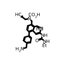 C#CCN(Cc1ccc(-c2ccc(CN)cc2)c2cc(NC(=O)NCC)ncc12)C(=O)O.Cl